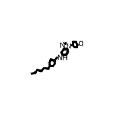 CCCCCCc1ccc(CNc2ccc3c(c2)ncn3-c2ccc(OC)cc2)cc1